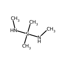 CN[Si](C)(C)NC